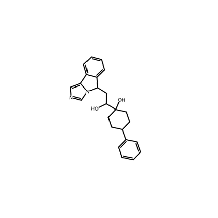 OC(CC1c2ccccc2-c2cncn21)C1(O)CCC(c2ccccc2)CC1